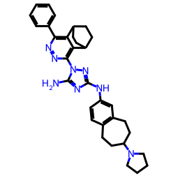 Nc1nc(Nc2ccc3c(c2)CCC(N2CCCC2)CC3)nn1-c1nnc(-c2ccccc2)c2c1C1CCC2CC1